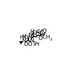 Cc1nn2c(O)c(C(=O)NC3CC3)c(=O)n(CC(C)C)c2c1/C=C/C(=O)N1C(C)COCC1C